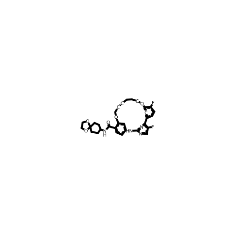 O=C(NC1CCC2(CC1)OCCO2)c1ccc2cc1OCCCCCCOc1cc(ccc1F)-c1nc(ncc1F)N2